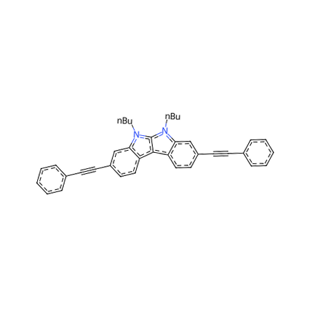 CCCCn1c2cc(C#Cc3ccccc3)ccc2c2c3ccc(C#Cc4ccccc4)cc3n(CCCC)c21